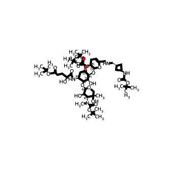 CN(C(=O)OC(C)(C)C)[C@@H]1[C@@H](O)[C@@H](O[C@@H]2[C@@H](O)[C@H](O[C@H]3OC(CNC[C@H]4C[C@H](NC(=O)OC(C)(C)C)C4)=CC[C@H]3NC(=O)OC(C)(C)C)[C@@H](NC(=O)OC(C)(C)C)C[C@H]2NC(=O)[C@@H](O)CCC(=O)OC(C)(C)C)OC[C@]1(C)O